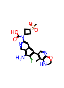 Cc1c(-c2cc3cc(N(C(=O)O)[C@H]4C[C@@H](S(C)(=O)=O)C4)ncc3c(N)c2F)cnc2c1NCCO2